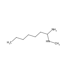 CCCCCCC(N)NC